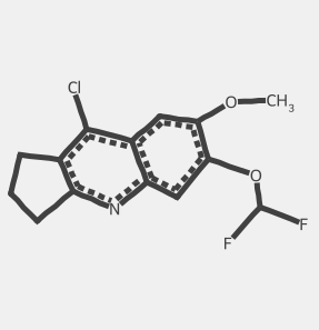 COc1cc2c(Cl)c3c(nc2cc1OC(F)F)CCC3